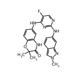 Cn1cc2ccc(Nc3ncc(F)c(Nc4ccc5c(c4)NC(=O)C(C)(C)O5)n3)cc2n1